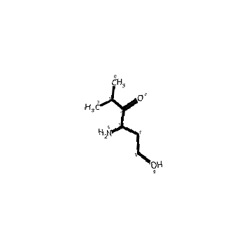 CC(C)C(=O)C(N)CCO